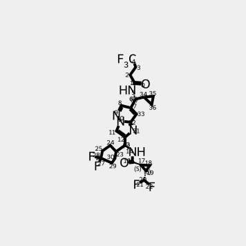 O=C(CCC(F)(F)F)N[C@@H](c1cnn2cc([C@@H](NC(=O)[C@H]3C[C@@H]3C(F)F)C3CCC(F)(F)CC3)nc2c1)C1CC1